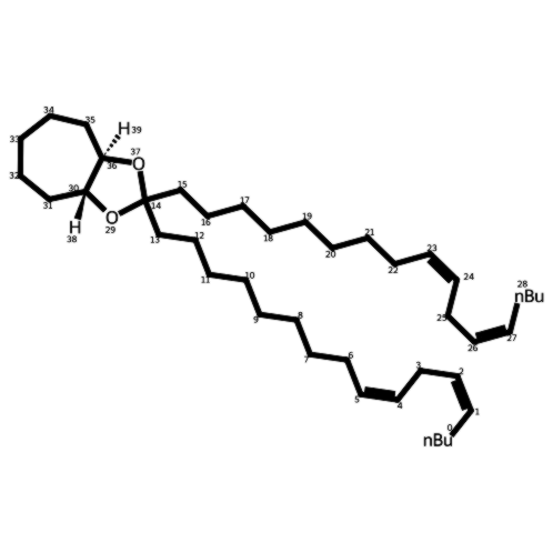 CCCC/C=C\C/C=C\CCCCCCCCC1(CCCCCCCC/C=C\C/C=C\CCCC)O[C@@H]2CCCCC[C@H]2O1